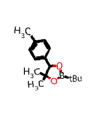 Cc1ccc(C2OB(C(C)(C)C)OC2(C)C)cc1